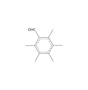 Cc1c(C)c(C)c(C=O)c(C)c1C